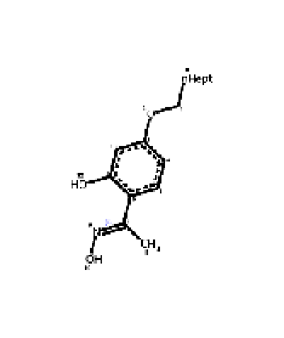 CCCCCCCCOc1ccc(/C(C)=N/O)c(O)c1